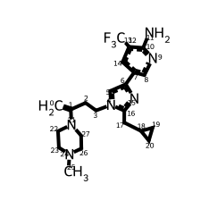 C=C(CCn1cc(-c2cnc(N)c(C(F)(F)F)c2)nc1CC1CC1)N1CCN(C)CC1